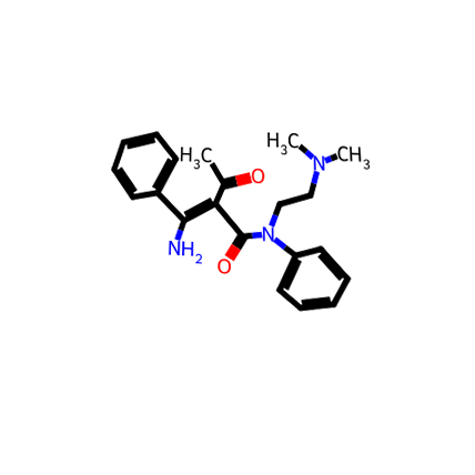 CC(=O)/C(C(=O)N(CCN(C)C)c1ccccc1)=C(/N)c1ccccc1